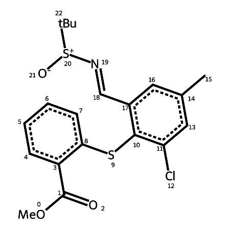 COC(=O)c1ccccc1Sc1c(Cl)cc(C)cc1/C=N/[S+]([O-])C(C)(C)C